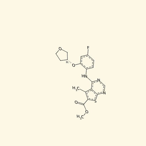 COC(=O)c1sc2ncnc(Nc3ccc(F)cc3O[C@@H]3CCOC3)c2c1C